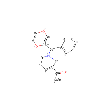 COC(=O)C1=CCCN(C(C2=CC=CCC2)C2=COC=CO2)C1